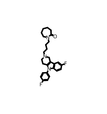 O=C1CCCCCN1CCCCN1CCc2c(c3cc(F)ccc3n2-c2ccc(F)cc2)C1